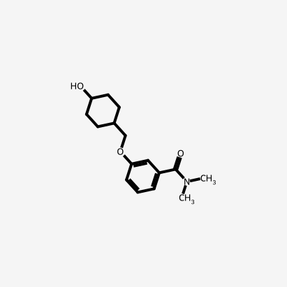 CN(C)C(=O)c1cccc(OCC2CCC(O)CC2)c1